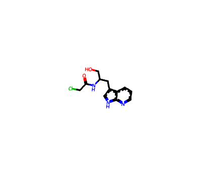 O=C(CCl)NC(CO)Cc1c[nH]c2ncccc12